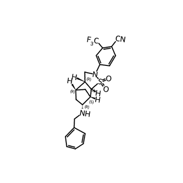 N#Cc1ccc(N2C[C@H]3[C@@H]4C[C@H]([C@H]3S2(=O)=O)[C@H](NCc2ccccc2)C4)cc1C(F)(F)F